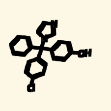 Oc1ccc(C(c2ccccc2)(c2ccc(Cl)cc2)n2ccnc2)cc1